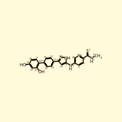 CNC(=S)c1ccc(Nc2cc(-c3ccc(-c4ccc(O)cc4O)cc3)n[nH]2)cn1